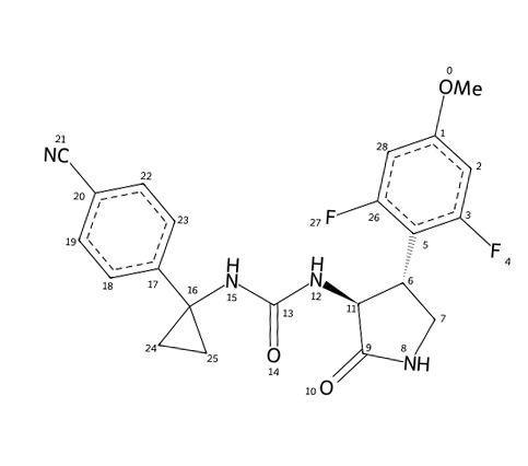 COc1cc(F)c([C@@H]2CNC(=O)[C@H]2NC(=O)NC2(c3ccc(C#N)cc3)CC2)c(F)c1